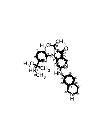 CNC(C)(C)c1cccc(-n2c3nc(Nc4ccc5c(c4)CNCC5)ncc3c(=O)n2C(C)C)n1